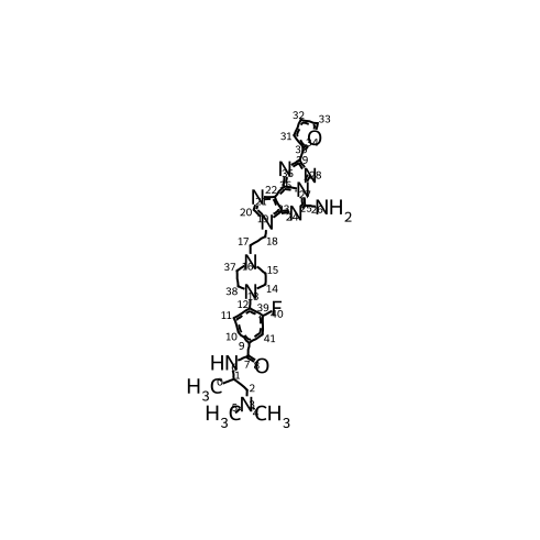 CC(CN(C)C)NC(=O)c1ccc(N2CCN(CCn3cnc4c3nc(N)n3nc(-c5ccco5)nc43)CC2)c(F)c1